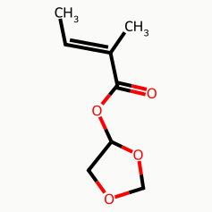 CC=C(C)C(=O)OC1COCO1